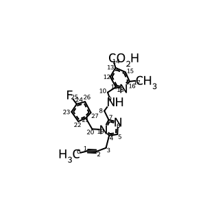 CC#CCc1cnc(CNCc2cc(C(=O)O)cc(C)n2)n1Cc1ccc(F)cc1